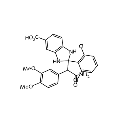 COc1ccc(C(C(N)=O)C2(c3c(Cl)cccc3Cl)Nc3ccc(C(=O)O)cc3N2)cc1OC